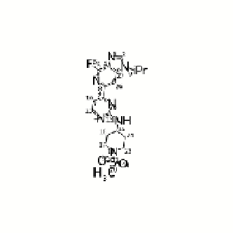 CC(C)n1cnc2c(F)nc(-c3ccnc(NC4CCN(S(C)(=O)=O)CC4)n3)cc21